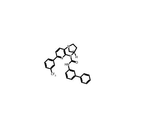 O=C(Nc1cccc(-c2ccccc2)c1)N1c2nc(-c3cccc(C(F)(F)F)c3)ccc2N2CC[C@H]1C2